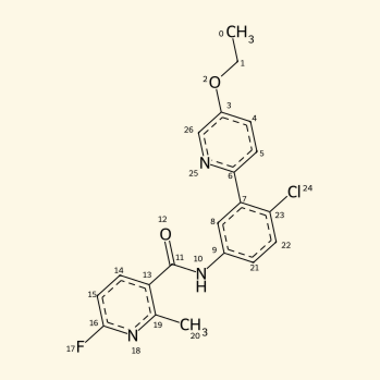 CCOc1ccc(-c2cc(NC(=O)c3ccc(F)nc3C)ccc2Cl)nc1